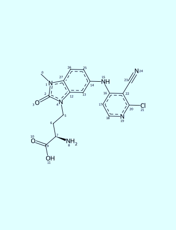 Cn1c(=O)n(CC[C@@H](N)C(=O)O)c2cc(Nc3ccnc(Cl)c3C#N)ccc21